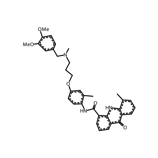 COc1ccc(CN(C)CCCOc2ccc(NC(=O)c3cccc4c(=O)c5cccc(C)c5[nH]c34)c(C)c2)cc1OC